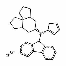 C1=CC[C]([Zr+2](=[C](CC2CCCC2)CC2CCCC2)[CH]2c3ccccc3-c3ccccc32)=C1.[Cl-].[Cl-]